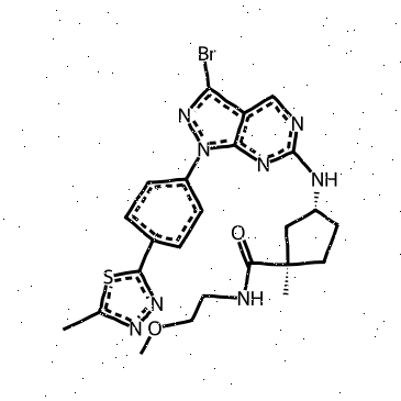 COCCNC(=O)[C@]1(C)CC[C@@H](Nc2ncc3c(Br)nn(-c4ccc(-c5nnc(C)s5)cc4)c3n2)C1